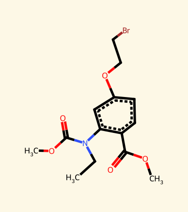 CCN(C(=O)OC)c1cc(OCCBr)ccc1C(=O)OC